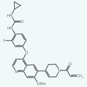 C=CC(=O)N1CC=C(c2cc3c(Oc4ccc(NC(=O)NC5CC5)c(F)c4)ccnc3cc2OC)CC1